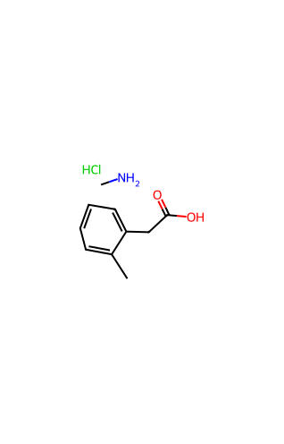 CN.Cc1ccccc1CC(=O)O.Cl